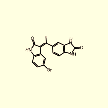 C/C(=C1\C(=O)Nc2ccc(Br)cc21)c1ccc2[nH]c(=O)[nH]c2c1